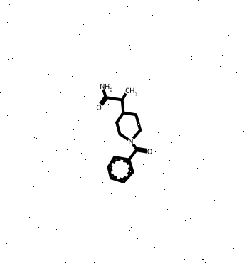 CC(C(N)=O)C1CCN(C(=O)c2ccccc2)CC1